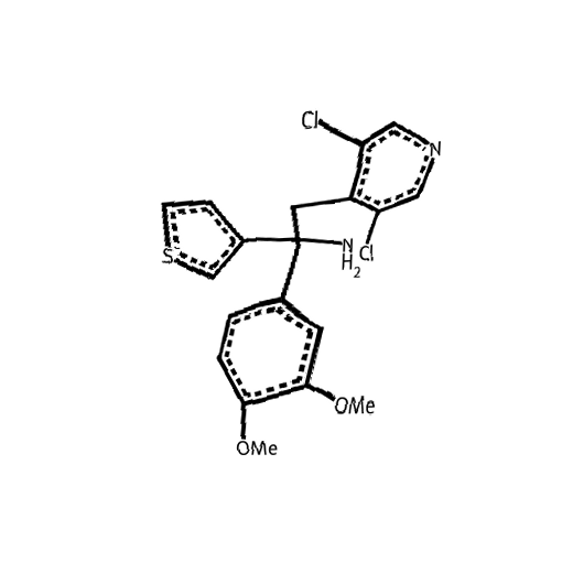 COc1ccc(C(N)(Cc2c(Cl)cncc2Cl)c2ccsc2)cc1OC